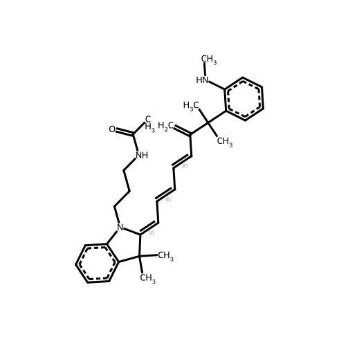 C=C(/C=C/C=C/C=C1\N(CCCNC(C)=O)c2ccccc2C1(C)C)C(C)(C)c1ccccc1NC